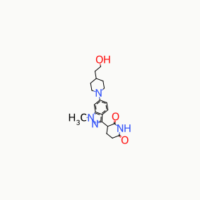 Cn1nc(C2CCC(=O)NC2=O)c2ccc(N3CCC(CCO)CC3)cc21